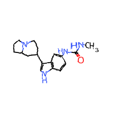 CNC(=O)Nc1ccc2[nH]cc(C3CCN4CCCC4C3)c2c1